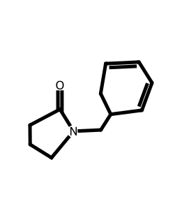 O=C1CCCN1CC1C=CC=CC1